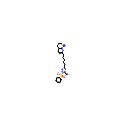 O=C(O)[C@@H](CCCCCCCc1ccc2c(n1)NCCC2)NS(=O)(=O)c1ccccc1